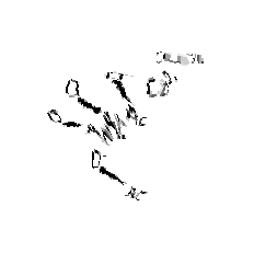 CC(=O)[O-].CC(=O)[O-].CC(=O)[O-].CC(=O)[O-].[Ca+2].[Cu+2]